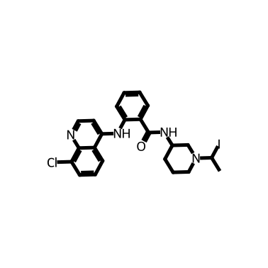 CC(I)N1CCCC(NC(=O)c2ccccc2Nc2ccnc3c(Cl)cccc23)C1